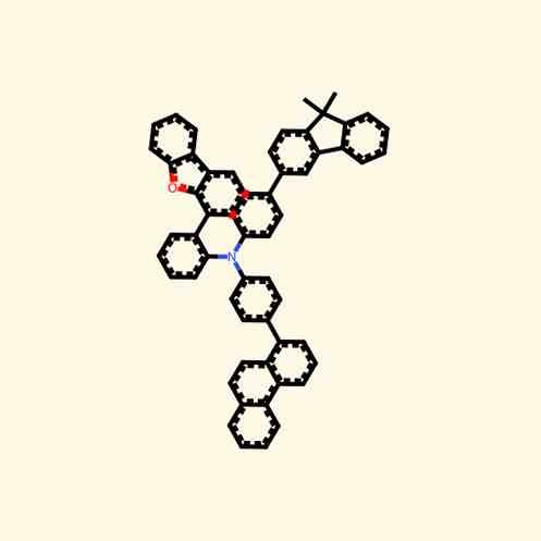 CC1(C)c2ccccc2-c2cc(-c3ccc(N(c4ccc(-c5cccc6c5ccc5ccccc56)cc4)c4ccccc4-c4cccc5c4oc4ccccc45)cc3)ccc21